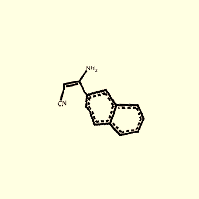 N#C/C=C(/N)c1ccc2ccccc2c1